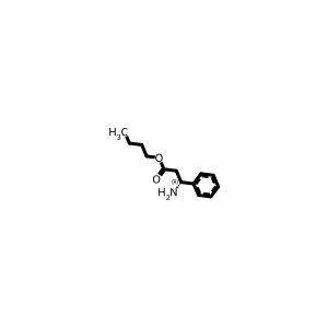 CCCCOC(=O)C[C@@H](N)c1ccccc1